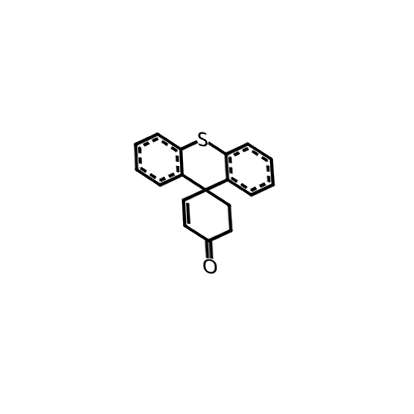 O=C1C=CC2(CC1)c1ccccc1Sc1ccccc12